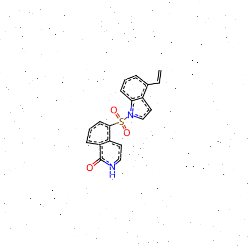 C=Cc1cccc2c1ccn2S(=O)(=O)c1cccc2c(=O)[nH]ccc12